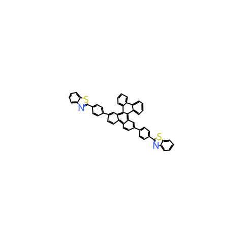 c1ccc2sc(-c3ccc(-c4ccc5c6ccc(-c7ccc(-c8nc9ccccc9s8)cc7)cc6c6c7ccccc7c7ccccc7c6c5c4)cc3)nc2c1